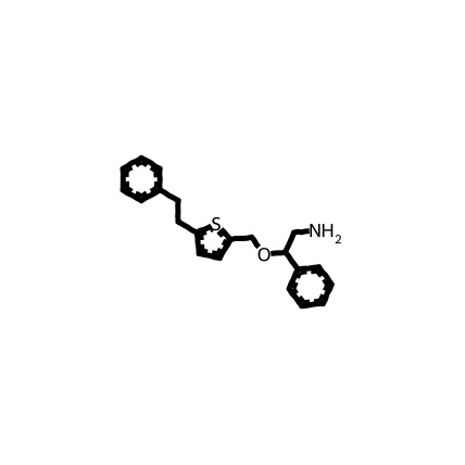 NCC(OCc1ccc(CCc2ccccc2)s1)c1ccccc1